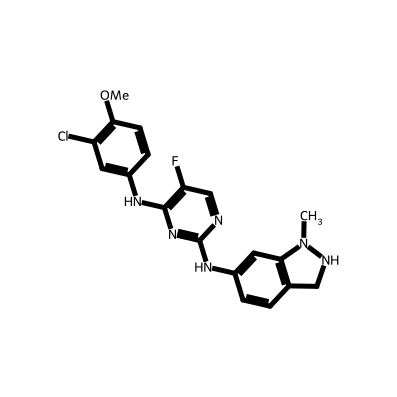 COc1ccc(Nc2nc(Nc3ccc4c(c3)N(C)NC4)ncc2F)cc1Cl